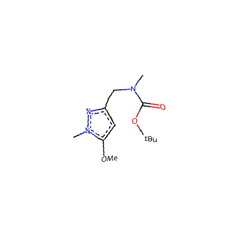 COc1cc(CN(C)C(=O)OC(C)(C)C)nn1C